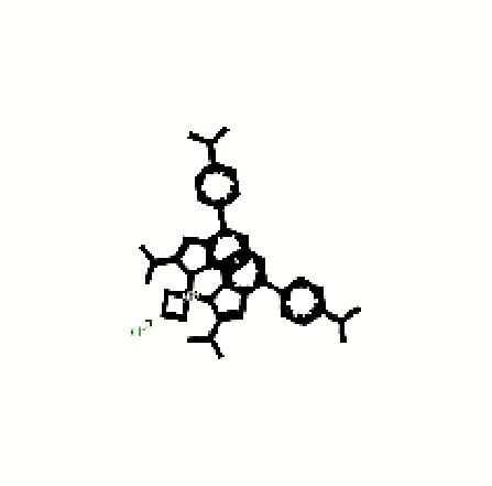 CC(C)C1=Cc2c(-c3ccc(C(C)C)cc3)cccc2[CH]1[Zr+2]1([CH]2C(C(C)C)=Cc3c(-c4ccc(C(C)C)cc4)cccc32)[CH2]C[CH2]1.[Cl-].[Cl-]